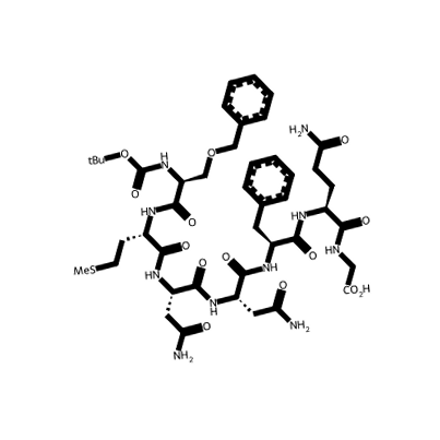 CSCC[C@H](NC(=O)[C@H](COCc1ccccc1)NC(=O)OC(C)(C)C)C(=O)N[C@@H](CC(N)=O)C(=O)N[C@@H](CC(N)=O)C(=O)N[C@@H](Cc1ccccc1)C(=O)N[C@@H](CCC(N)=O)C(=O)NCC(=O)O